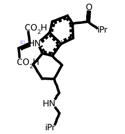 CC(C)CNCC1CCc2[nH]c3ccc(C(=O)C(C)C)cc3c2C1.O=C(O)/C=C/C(=O)O